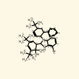 CC(C)(C)C1=CC(C2NC3=C(Br)C=CCC3N2C2C#CC(C(C)(C)C)CC2c2ccccc2)C(C)(O)C(C(C)(C)C)=C1